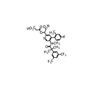 Cc1cc(F)ccc1-c1cc(C(C[N+](=O)[O-])OC(=O)CC(=O)O)ncc1N(C)C(=O)C(C)(C)c1cc(C(F)(F)F)cc(C(F)(F)F)c1